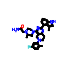 Cc1ccc(F)cc1N1CCc2nc(-c3cccc4[nH]cc(C)c34)nc(N3CCN(CC(N)=O)C(C)C3)c2C1